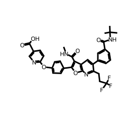 CNC(=O)c1c(-c2ccc(Oc3ccc(C(=O)O)cn3)cc2)oc2nc(CCC(F)(F)F)c(-c3cccc(C(=O)NC(C)(C)C)c3)cc12